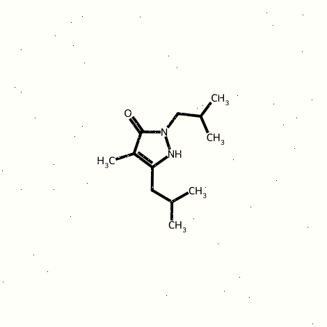 Cc1c(CC(C)C)[nH]n(CC(C)C)c1=O